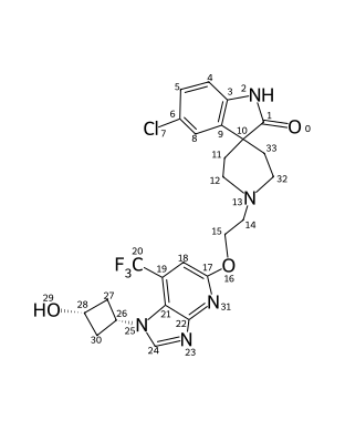 O=C1Nc2ccc(Cl)cc2C12CCN(CCOc1cc(C(F)(F)F)c3c(ncn3[C@H]3C[C@@H](O)C3)n1)CC2